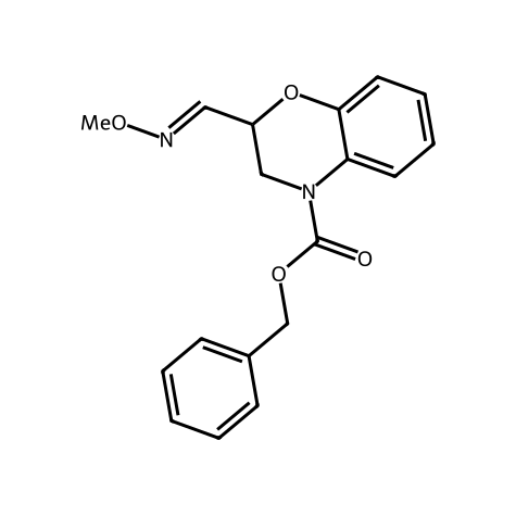 CO/N=C/C1CN(C(=O)OCc2ccccc2)c2ccccc2O1